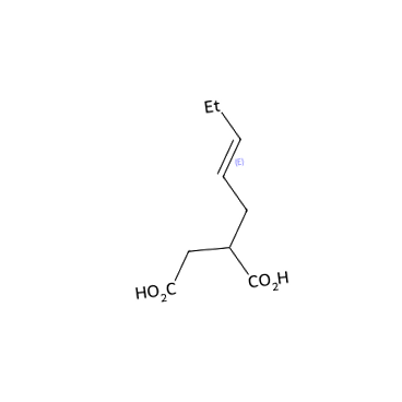 CC/C=C/CC(CC(=O)O)C(=O)O